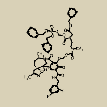 CC1=NO[C@@]2(CC[C@H](C)N3C[C@H]2n2cc(C(=O)NCc4ccc(F)cc4F)c(=O)c(OCOC(=O)N(C)CCN(CC(=O)OCc4ccccc4)C(=O)OCOP(=O)(OCc4ccccc4)OCc4ccccc4)c2C3=O)C1